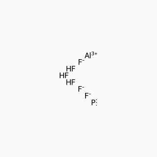 F.F.F.[Al+3].[F-].[F-].[F-].[P]